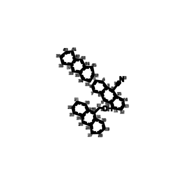 N#Cc1c2ccccc2cc2ccccc12.OCc1c2ccccc2cc2ccccc12.c1ccc2cc3ccccc3cc2c1